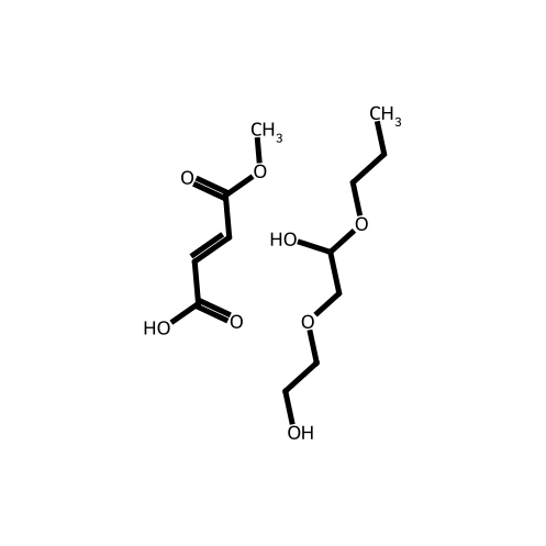 CCCOC(O)COCCO.COC(=O)/C=C/C(=O)O